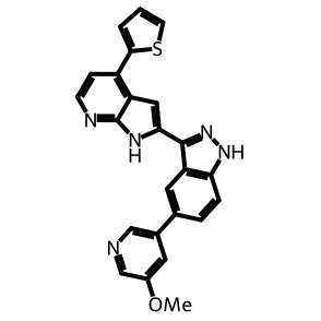 COc1cncc(-c2ccc3[nH]nc(-c4cc5c(-c6cccs6)ccnc5[nH]4)c3c2)c1